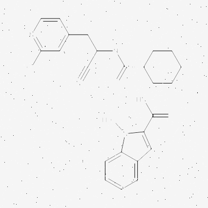 Cn1c(C(=O)N[C@H]2CCCC[C@H]2C(=O)NC(C#N)Cc2ccnc(Cl)c2)cc2ccccc21